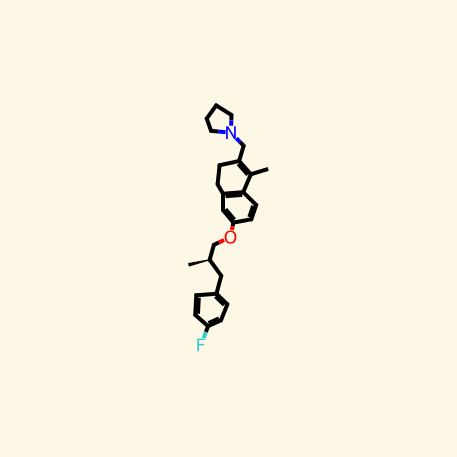 CC1=C(CN2CCCC2)CCc2cc(OC[C@H](C)Cc3ccc(F)cc3)ccc21